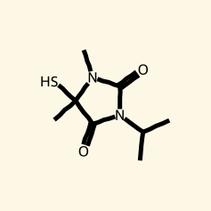 CC(C)N1C(=O)N(C)C(C)(S)C1=O